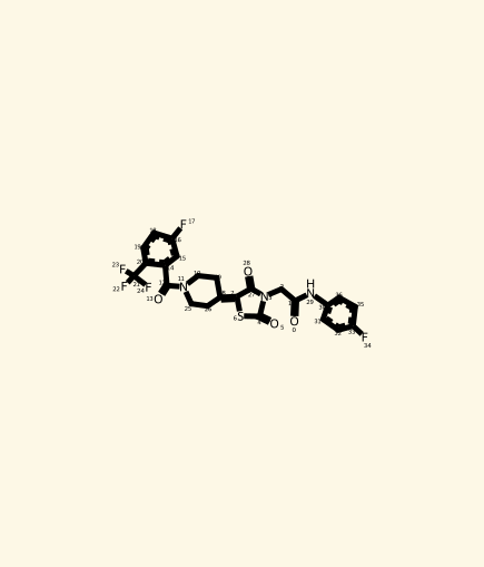 O=C(CN1C(=O)SC(=C2CCN(C(=O)c3cc(F)ccc3C(F)(F)F)CC2)C1=O)Nc1ccc(F)cc1